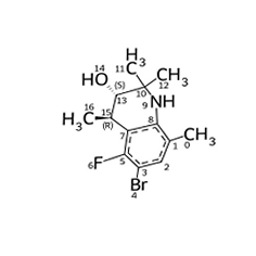 Cc1cc(Br)c(F)c2c1NC(C)(C)[C@@H](O)[C@@H]2C